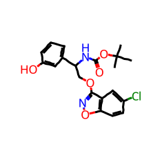 CC(C)(C)OC(=O)NC(COc1noc2ccc(Cl)cc12)c1cccc(O)c1